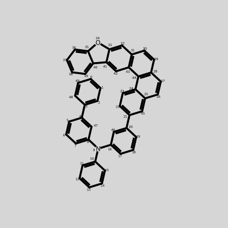 c1ccc(-c2cccc(N(c3ccccc3)c3cccc(-c4ccc5c(ccc6ccc7cc8oc9ccccc9c8cc7c65)c4)c3)c2)cc1